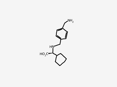 NCc1ccc(CN[C@H](C(=O)O)C2CCCCC2)cc1